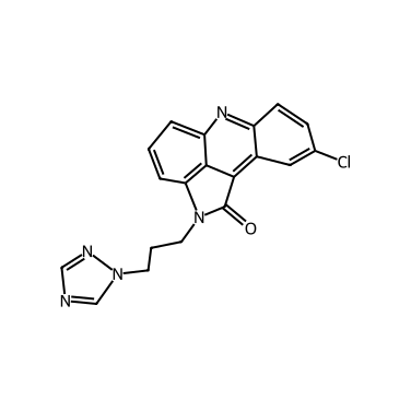 O=C1c2c3cc(Cl)ccc3nc3cccc(c23)N1CCCn1cncn1